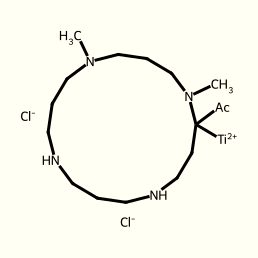 CC(=O)[C]1([Ti+2])CCNCCCNCCCN(C)CCCN1C.[Cl-].[Cl-]